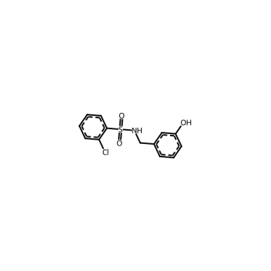 O=S(=O)(NCc1cccc(O)c1)c1ccccc1Cl